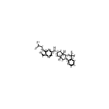 FC(F)Cn1ncc2ncc(N[C@@H]3C[C@@H]4CN(c5ncccc5C(F)(F)F)C[C@@H]4C3)nc21